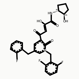 O=C(N[C@@H]1CCC[C@H]1O)C(O)=CC(=O)c1cc(Cc2ccccc2F)cn(Cc2c(F)cccc2F)c1=O